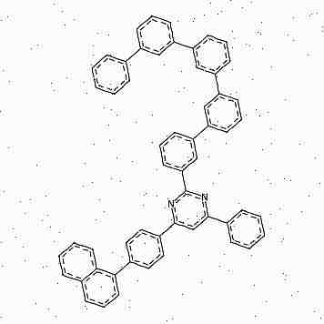 c1ccc(-c2cccc(-c3cccc(-c4cccc(-c5cccc(-c6nc(-c7ccccc7)cc(-c7ccc(-c8cccc9ccccc89)cc7)n6)c5)c4)c3)c2)cc1